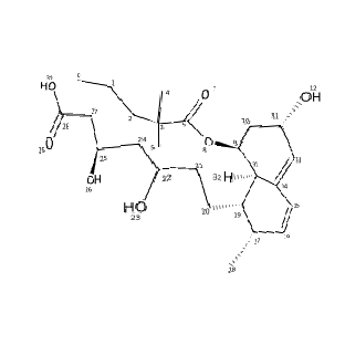 CCCC(C)(C)C(=O)O[C@H]1C[C@H](O)C=C2C=C[C@H](C)[C@H](CCC(O)C[C@@H](O)CC(=O)O)[C@H]21